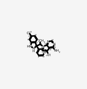 CCc1nn(C(C)C2(c3cccnc3)NNc3cc(Cl)ccc32)c2ncnc(N)c12